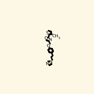 Cc1ccsc1-c1nc(COc2ccc(CCCn3ccnc3)cc2)co1